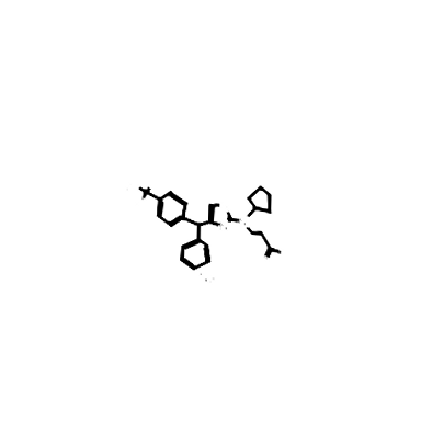 CC(C)(C)c1ccc(C(c2ccccc2)c2csc(N(CCC(=O)[O-])C3CCCC3)n2)cc1.[Na+]